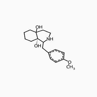 COc1ccc(CC2NCCC3(O)CCCC[C@]23O)cc1